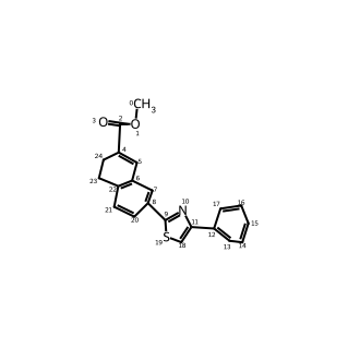 COC(=O)C1=Cc2cc(-c3nc(-c4ccccc4)cs3)ccc2CC1